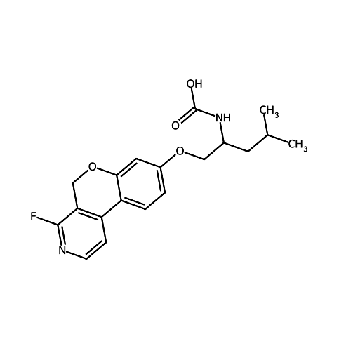 CC(C)CC(COc1ccc2c(c1)OCc1c-2ccnc1F)NC(=O)O